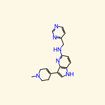 CN1CC=C(c2c[nH]c3ccc(NCc4ccncn4)nc23)CC1